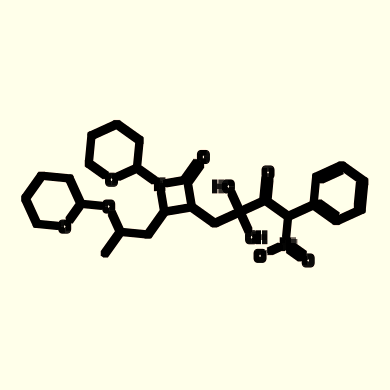 CC(CC1C(CC(O)(O)C(=O)C(c2ccccc2)[N+](=O)[O-])C(=O)N1C1CCCCO1)OC1CCCCO1